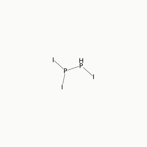 IPP(I)I